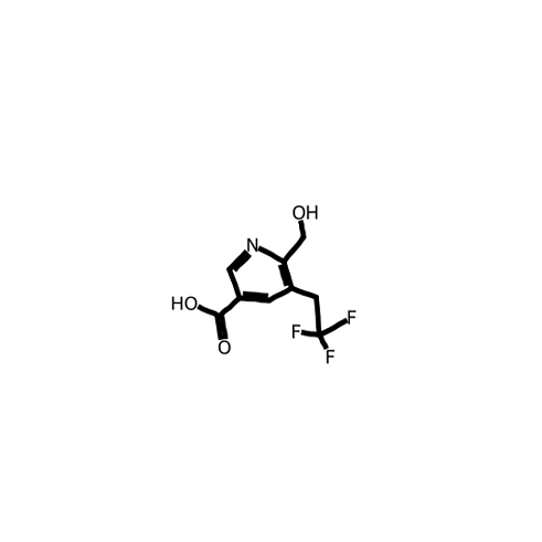 O=C(O)c1cnc(CO)c(CC(F)(F)F)c1